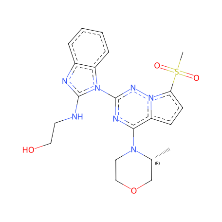 C[C@@H]1COCCN1c1nc(-n2c(NCCO)nc3ccccc32)nn2c(S(C)(=O)=O)ccc12